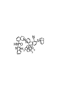 CC(C)(C)OC(=O)c1nc(N2CCc3cccc(C(=O)Nc4nc5ccccc5s4)c3C2)ccc1-c1cccc(SC23CC4CC(CC(C4)C2)C3)c1C#N